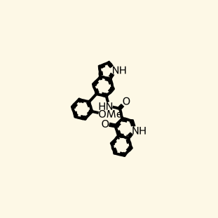 COc1ccccc1-c1cc2cc[nH]c2cc1NC(=O)c1c[nH]c2ccccc2c1=O